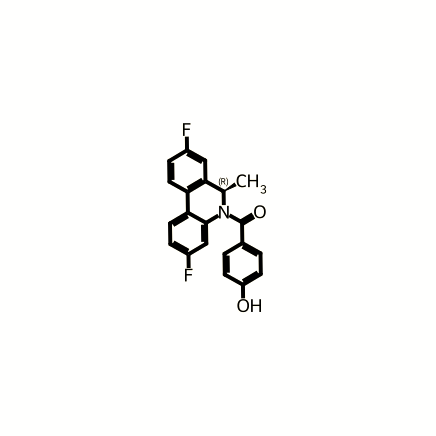 C[C@@H]1c2cc(F)ccc2-c2ccc(F)cc2N1C(=O)c1ccc(O)cc1